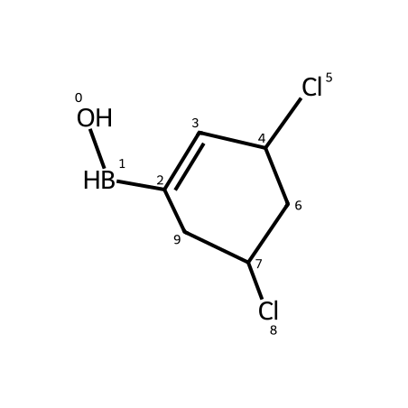 OBC1=CC(Cl)CC(Cl)C1